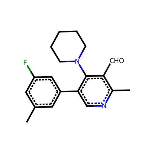 Cc1cc(F)cc(-c2cnc(C)c(C=O)c2N2CCCCC2)c1